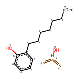 CCCCCCCCCCCCCCCCc1ccccc1O.O[SH](=S)=S